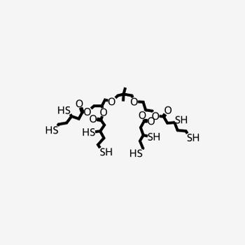 CC(C)(COCC(COC(=O)CC(S)CCS)OC(=O)CC(S)CCS)COCC(COC(=O)CC(S)CCS)OC(=O)CC(S)CCS